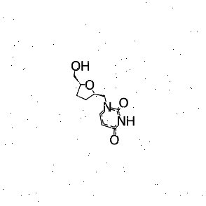 O=c1ccn(C[C@H]2CC[C@@H](CO)O2)c(=O)[nH]1